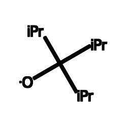 CC(C)C([O])(C(C)C)C(C)C